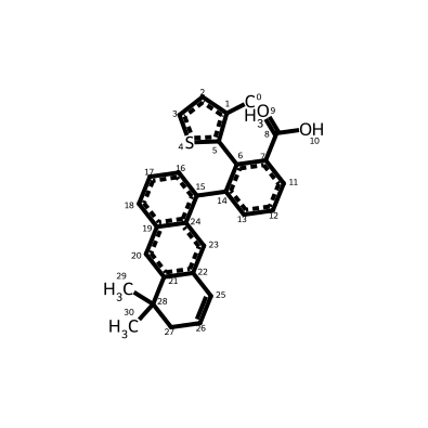 Cc1ccsc1-c1c(C(=O)O)cccc1-c1cccc2cc3c(cc12)C=CCC3(C)C